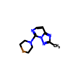 Cc1nc2ccnc(N3CCSCC3)n2n1